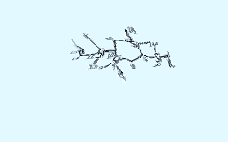 C=C[Si](C)(C)C1C[Si](C)(C)C([Si](C)(C)C=C)C[Si]1(C)C